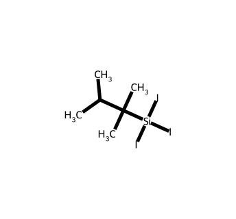 CC(C)C(C)(C)[Si](I)(I)I